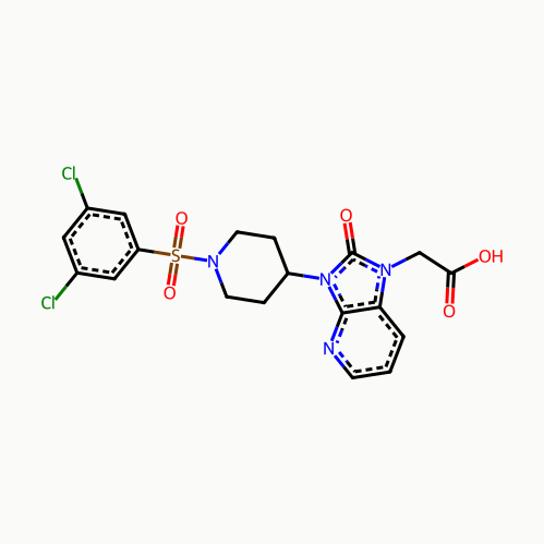 O=C(O)Cn1c(=O)n(C2CCN(S(=O)(=O)c3cc(Cl)cc(Cl)c3)CC2)c2ncccc21